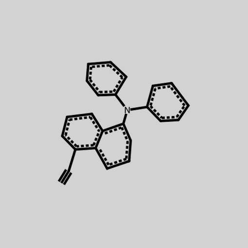 C#Cc1cccc2c(N(c3ccccc3)c3ccccc3)cccc12